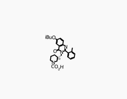 Cc1ccccc1-c1nc2ccc(OCC(C)C)cc2c(=O)n1C[C@H]1CCCN(C(=O)O)C1